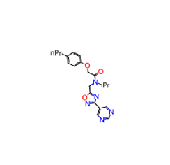 CCCc1ccc(OCC(=O)N(Cc2nc(-c3cncnc3)no2)C(C)C)cc1